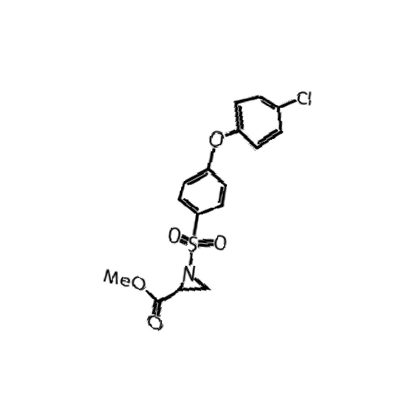 COC(=O)C1CN1S(=O)(=O)c1ccc(Oc2ccc(Cl)cc2)cc1